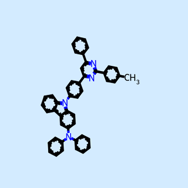 Cc1ccc(-c2nc(-c3ccccc3)cc(-c3ccc(-n4c5ccccc5c5cc(N(c6ccccc6)c6ccccc6)ccc54)cc3)n2)cc1